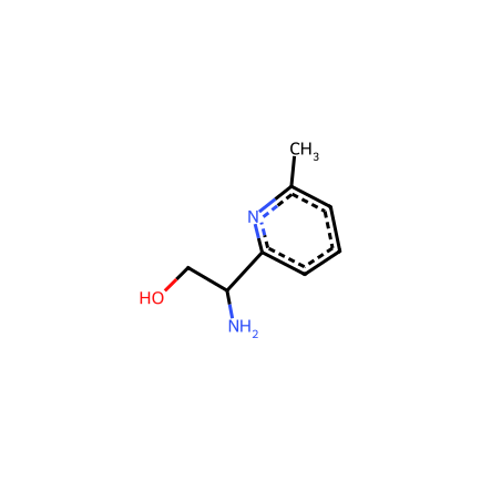 Cc1cccc(C(N)CO)n1